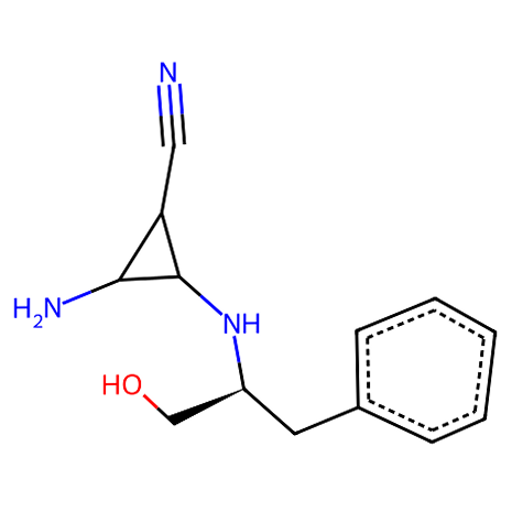 N#CC1C(N)C1N[C@H](CO)Cc1ccccc1